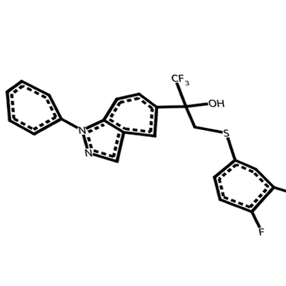 OC(CSc1ccc(F)c(Cl)c1)(c1ccc2c(cnn2-c2ccccc2)c1)C(F)(F)F